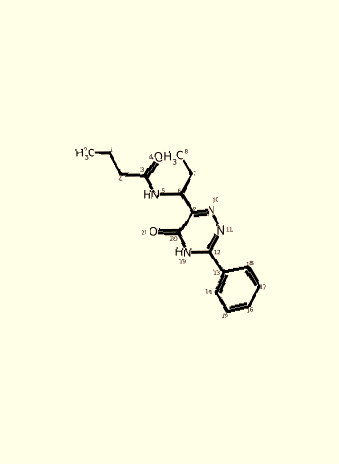 CCCC(=O)NC(CC)c1nnc(-c2ccccc2)[nH]c1=O